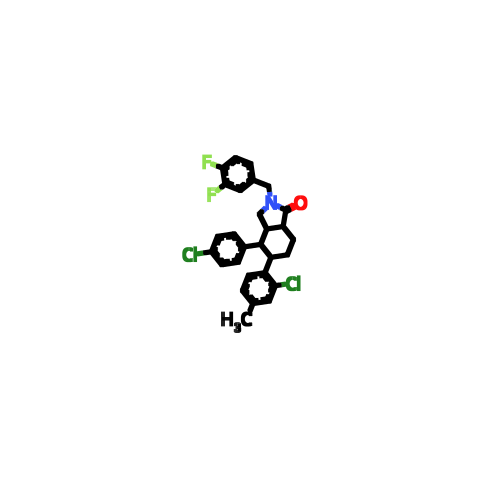 Cc1ccc(C2CCC3C(=O)N(Cc4ccc(F)c(F)c4)CC3C2c2ccc(Cl)cc2)c(Cl)c1